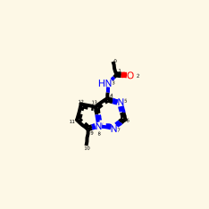 CC(=O)Nc1ncnn2c(C)ccc12